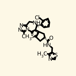 Cc1ncsc1CNC(=O)[C@@H]1Cc2sc3c(c2C1)[C@H](c1ccccc1Cl)NCc1nnc(C)n1-3